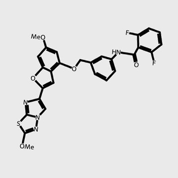 COc1cc(OCc2cccc(NC(=O)c3c(F)cccc3F)c2)c2cc(-c3cn4nc(OC)sc4n3)oc2c1